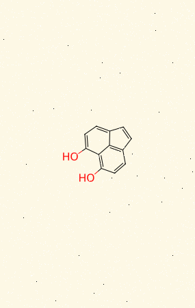 Oc1ccc2c3c(ccc(O)c13)C=C2